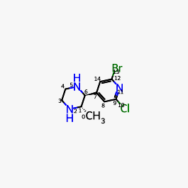 C[C@@H]1NCCN[C@H]1c1cc(Cl)nc(Br)c1